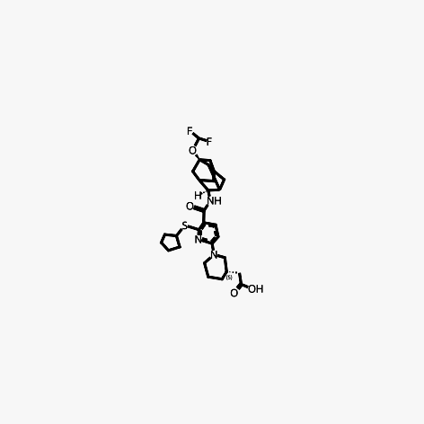 O=C(O)C[C@@H]1CCCN(c2ccc(C(=O)N[C@H]3C4CC5CC3C[C@@](OC(F)F)(C5)C4)c(SC3CCCC3)n2)C1